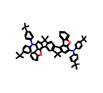 CC(C)(C)c1ccc(N(c2ccc(C(C)(C)C)cc2)c2cc3c(c4c2oc2ccccc24)-c2cc4c(cc2C3(C)C)-c2c(cc(N(c3ccc(C(C)(C)C)cc3)c3ccc(C(C)(C)C)cc3)c3c2oc2ccccc23)C4(C)C)cc1